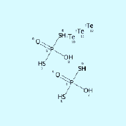 O=P(O)(S)S.O=P(O)(S)S.[Te].[Te].[Te]